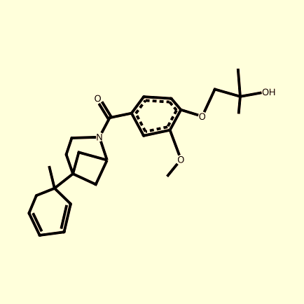 COc1cc(C(=O)N2CCC3(C4(C)C=CC=CC4)CC2C3)ccc1OCC(C)(C)O